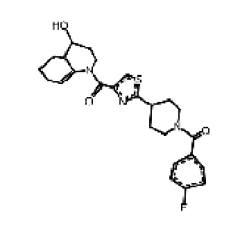 O=C(c1ccc(F)cc1)N1CCC(c2nc(C(=O)N3CCC(O)C4CCCC=C43)cs2)CC1